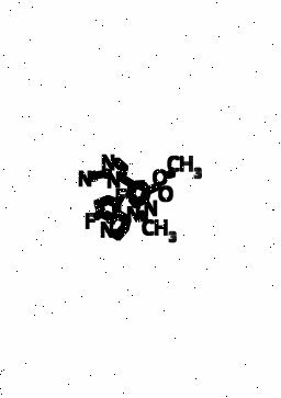 CCOC(=O)c1cc(-c2ccnc(C#N)n2)cc2c1nc(C)n2-c1ccnc2c(F)ccc(F)c12